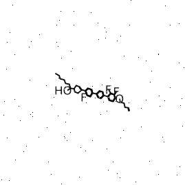 C=CCCCOc1ccc(-c2ccc(-c3ccc(C4=CCC(C(O)CCCCCC)CC4)c(F)c3)cc2)c(F)c1F